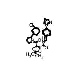 CC1(C)O[C@@H](C(=O)NCc2ccc(-n3cccn3)cc2)[C@H](C(=O)N2CCCC2C2=CC(Cl)=CCC2)O1